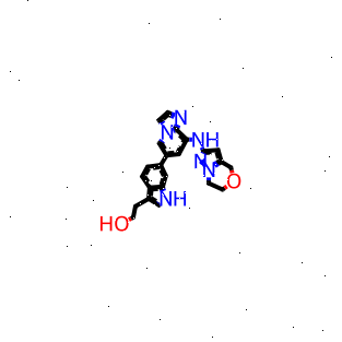 OCCc1c[nH]c2cc(-c3cc(Nc4cc5n(n4)CCOC5)c4nccn4c3)ccc12